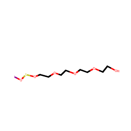 OCCOCCOCCOCCOSOI